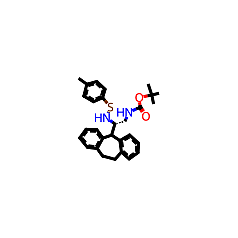 Cc1ccc(SN[C@H](CNC(=O)OC(C)(C)C)C2c3ccccc3CCc3ccccc32)cc1